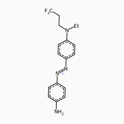 CCN(CCC(F)(F)F)c1ccc(/N=N/c2ccc(N)cc2)cc1